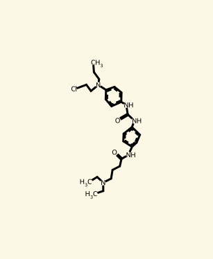 CCCN(CCCl)c1ccc(NC(=O)Nc2ccc(NC(=O)CCCN(CC)CC)cc2)cc1